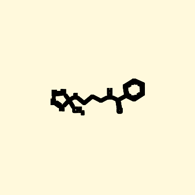 CC1(SCCCNC(=O)c2ccccc2)N=NN=N1